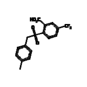 Cc1ccc(CS(=O)(=O)c2ccc(C(F)(F)F)cc2C(=O)O)cc1